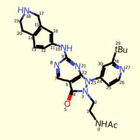 CC(=O)NCCn1c(=O)c2cnc(Nc3ccc4c(c3)CNCC4)nc2n1-c1ccnc(C(C)(C)C)c1